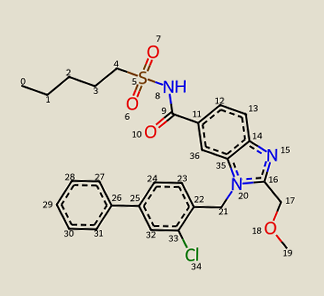 CCCCCS(=O)(=O)NC(=O)c1ccc2nc(COC)n(Cc3ccc(-c4ccccc4)cc3Cl)c2c1